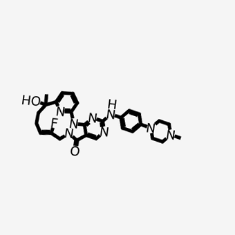 CN1CCN(c2ccc(Nc3ncc4c(=O)n5n(c4n3)-c3cccc(n3)C(C)(O)CC/C=C(\F)C5)cc2)CC1